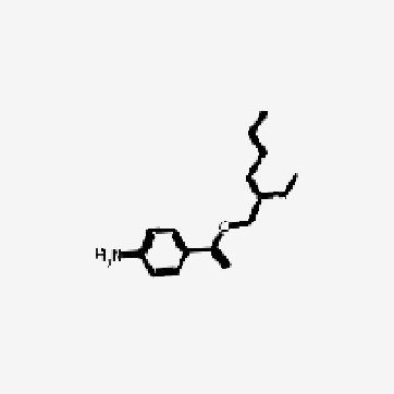 C=C(OCC(CC)CCCC)c1ccc(N)cc1